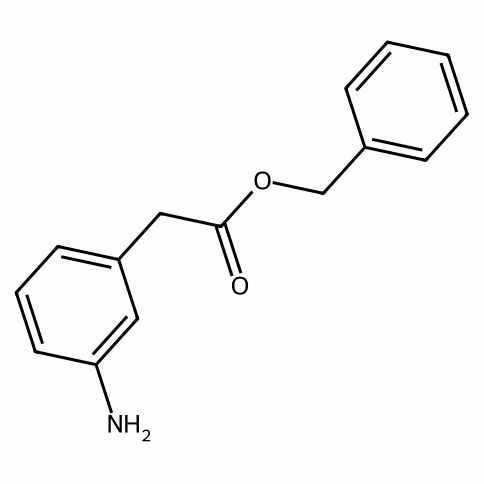 Nc1cccc(CC(=O)OCc2ccccc2)c1